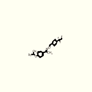 CC(=O)C(C)Oc1ccc(C(C)=NOCc2ccc(C(F)(F)CF)cc2)cc1